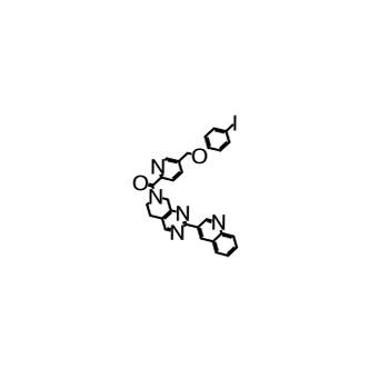 O=C(c1ccc(COc2ccc(I)cc2)cn1)N1CCc2cnc(-c3cnc4ccccc4c3)nc2C1